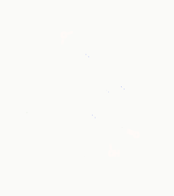 CCc1nn(CCN2CCOCC2)c2[nH]c(-c3c(F)cccc3F)c(O)c(=O)c12.Cl.Cl